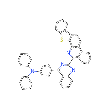 c1ccc(N(c2ccccc2)c2ccc(-c3nc(-c4nc5c(ccc6c7ccccc7sc65)c5ccccc45)nc4ccccc34)cc2)cc1